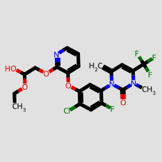 C=C1C=C(C(F)(F)F)N(C)C(=O)N1c1cc(Oc2cccnc2OCC(O)OCC)c(Cl)cc1F